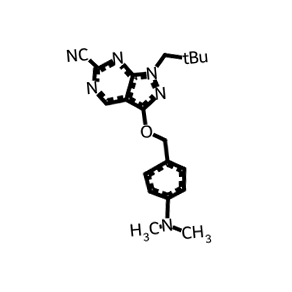 CN(C)c1ccc(COc2nn(CC(C)(C)C)c3nc(C#N)ncc23)cc1